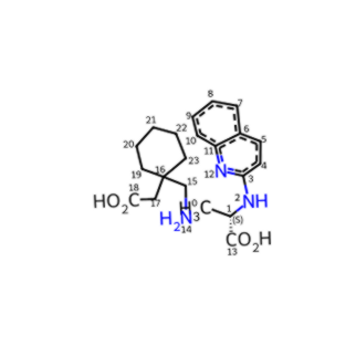 C[C@H](Nc1ccc2ccccc2n1)C(=O)O.NCC1(CC(=O)O)CCCCC1